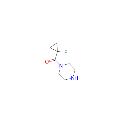 O=C(N1CCNCC1)C1(F)CC1